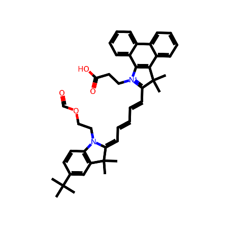 CC(C)(C)c1ccc2c(c1)C(C)(C)/C(=C/C=C/C=C/C1=[N+](CCC(=O)O)c3c(c4ccccc4c4ccccc34)C1(C)C)N2CCOC=O